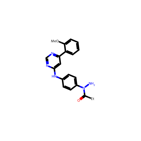 CCC(=O)N(N)c1ccc(Nc2cc(-c3ccccc3OC)ncn2)cc1